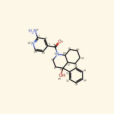 Nc1cc(C(=O)N2CCC(O)(c3ccccc3)C3CCCCC32)ccn1